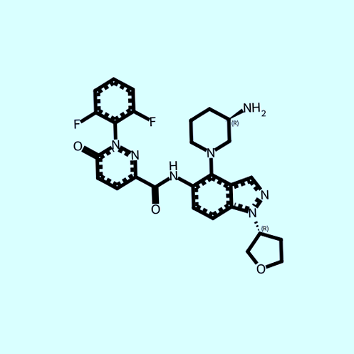 N[C@@H]1CCCN(c2c(NC(=O)c3ccc(=O)n(-c4c(F)cccc4F)n3)ccc3c2cnn3[C@@H]2CCOC2)C1